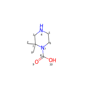 CC1(C)CNCCN1C(=O)O